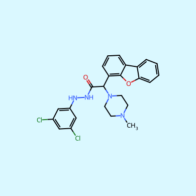 CN1CCN(C(C(=O)NNc2cc(Cl)cc(Cl)c2)c2cccc3c2oc2ccccc23)CC1